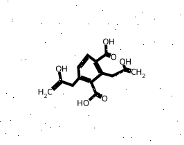 C=C(O)Cc1ccc(C(=O)O)c(CC(=C)O)c1C(=O)O